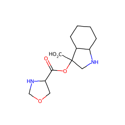 O=C(OC1(C(=O)O)CNC2CCCCC21)C1COCN1